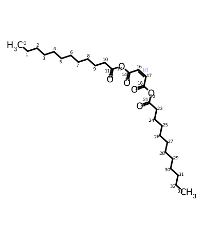 CCCCCCCCCCCC(=O)OC(=O)/C=C\C(=O)OC(=O)CCCCCCCCCCC